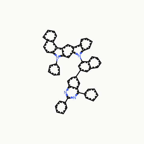 c1ccc(-c2nc(-c3ccccc3)c3cc(-c4cc(-n5c6ccccc6c6cc7c8c9ccccc9ccc8n(-c8ccccc8)c7cc65)c5ccccc5c4)ccc3n2)cc1